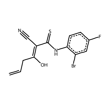 C=CCC(O)=C(C#N)C(=S)Nc1ccc(F)cc1Br